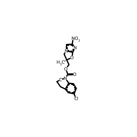 C[C@]1(COC(=O)N2CCCc3cc(Cl)ccc32)Cn2cc([N+](=O)[O-])nc2O1